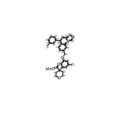 COC(=O)C1(c2cc(F)cc(OCc3ccc4c(-c5cccc(C)c5)cc5nncn5c4c3)c2)CCOCC1